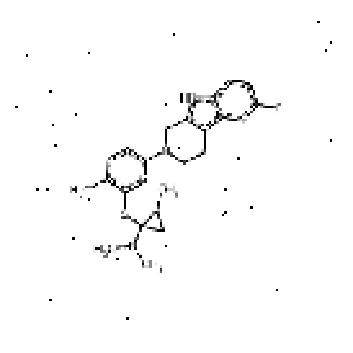 Cc1ccc(N2CCc3c([nH]c4ccc(F)cc34)C2)cc1SC1(N(C)C)CC1C